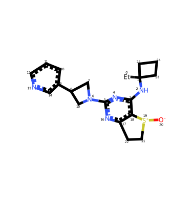 CCC1(Nc2nc(N3CC(c4cccnc4)C3)nc3c2[S+]([O-])CC3)CCC1